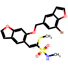 CNS(=O)(=O)/C(=C/c1cc2ccoc2cc1OCc1cc(Br)c2occc2c1)SC